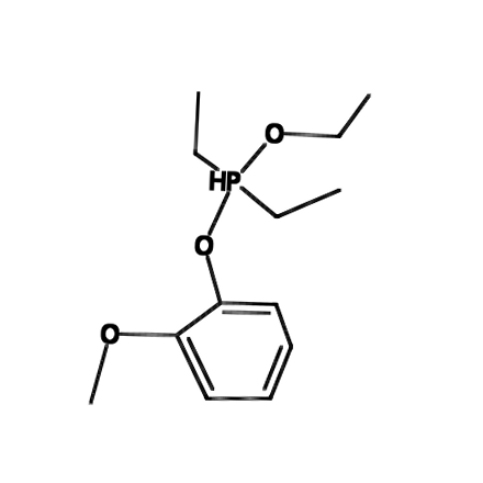 CCO[PH](CC)(CC)Oc1ccccc1OC